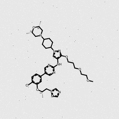 COCCOCCCOc1nn(C2CCC(N3C[C@@H](C)O[C@@H](C)C3)CC2)cc1Nc1ncc(-c2ccc(Cl)c(O[C@@H](C)Cn3cncn3)c2)cn1